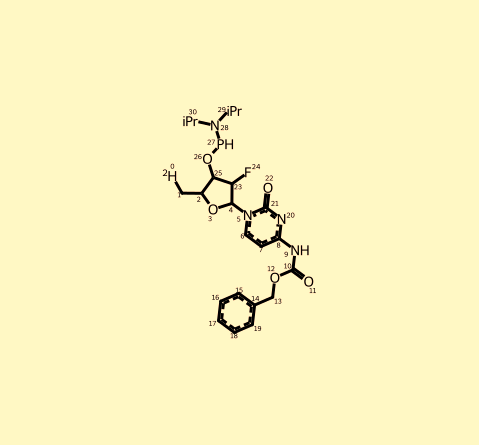 [2H]CC1OC(n2ccc(NC(=O)OCc3ccccc3)nc2=O)C(F)C1OPN(C(C)C)C(C)C